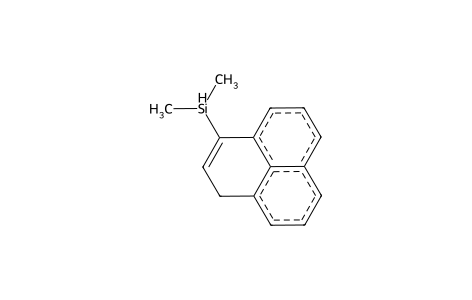 C[SiH](C)C1=CCc2cccc3cccc1c23